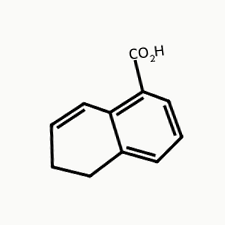 O=C(O)c1cccc2c1C=CCC2